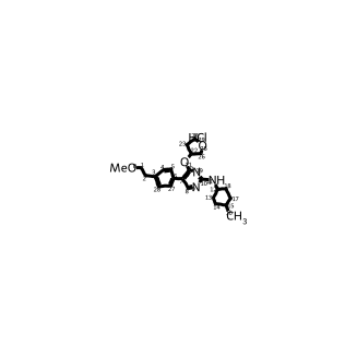 COCCc1ccc(-c2cnc(NC3CCC(C)CC3)nc2OC2CCOC2)cc1.Cl